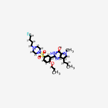 CCCOc1ccc(S(=O)(=O)N2CCN(CCCCF)CC2)cc1-c1nc2c(CCC)cn(C)c2c(=O)[nH]1